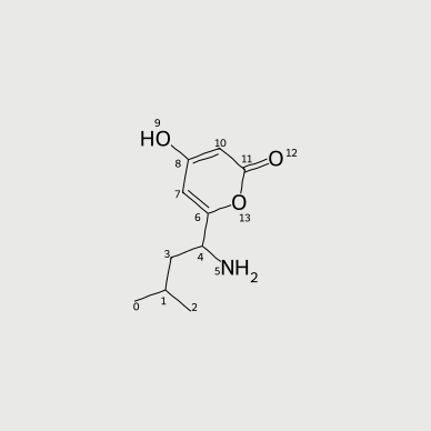 CC(C)CC(N)c1cc(O)cc(=O)o1